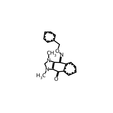 CN1CN(C)C2=C1C(=O)c1ccccc1/C2=N/OCc1ccccc1